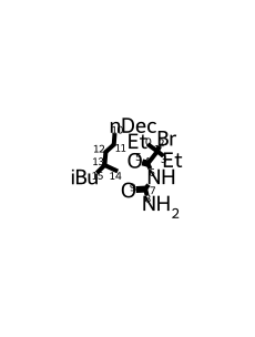 CCC(Br)(CC)C(=O)NC(N)=O.CCCCCCCCCCCCC(C)C(C)CC